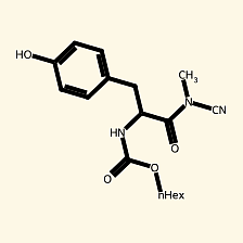 CCCCCCOC(=O)NC(Cc1ccc(O)cc1)C(=O)N(C)C#N